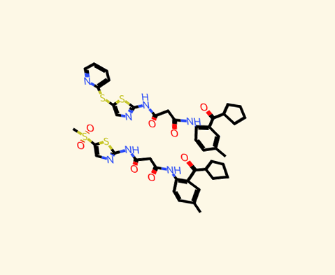 Cc1ccc(NC(=O)CC(=O)Nc2ncc(S(C)(=O)=O)s2)c(C(=O)C2CCCC2)c1.Cc1ccc(NC(=O)CC(=O)Nc2ncc(Sc3ccccn3)s2)c(C(=O)C2CCCC2)c1